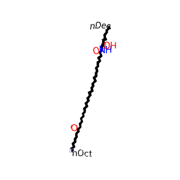 CCCCCCCC/C=C\CCCCCCCC(=O)CCCCCCCCCCCCCCCCCCCCCCCCCCCCCC(=O)NC[C@@H](O)CCCCCCCCCCCCCCCC